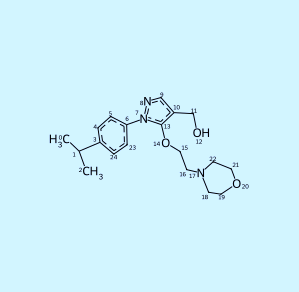 CC(C)c1ccc(-n2ncc(CO)c2OCCN2CCOCC2)cc1